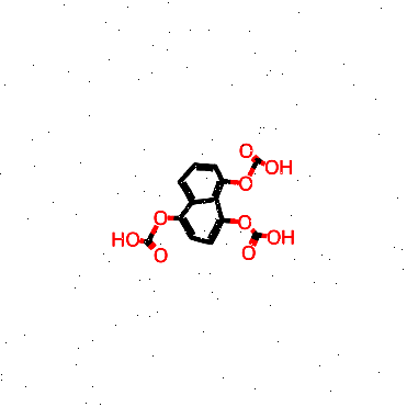 O=C(O)Oc1ccc(OC(=O)O)c2c(OC(=O)O)cccc12